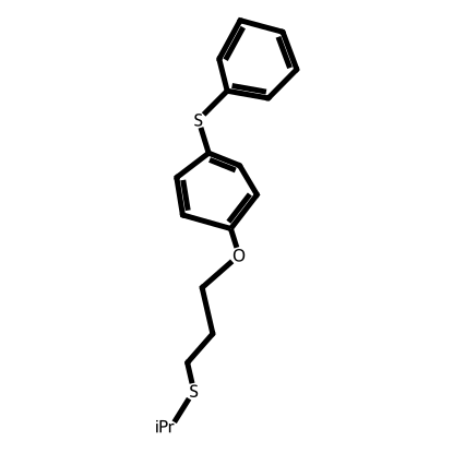 CC(C)SCCCOc1ccc(Sc2ccccc2)cc1